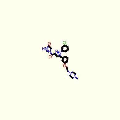 CN1CCN(CCOc2cccc(-c3cc(C(=O)N4CNC(=O)C4)nn3-c3cccc(Cl)c3)c2)CC1